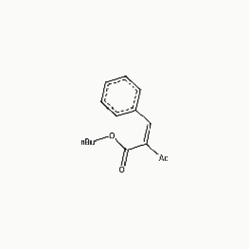 CCCCOC(=O)C(=Cc1ccccc1)C(C)=O